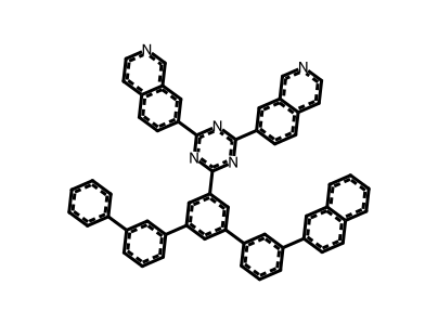 c1ccc(-c2cccc(-c3cc(-c4cccc(-c5ccc6ccccc6c5)c4)cc(-c4nc(-c5ccc6ccncc6c5)nc(-c5ccc6ccncc6c5)n4)c3)c2)cc1